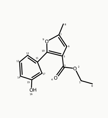 CCOC(=O)c1cc(C)oc1-c1cccc(O)c1